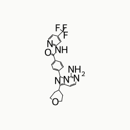 Nc1nccc2c(C3CCOCC3)nc(-c3ccc(C(=O)Nc4cc(C(F)(F)F)ccn4)cc3)n12